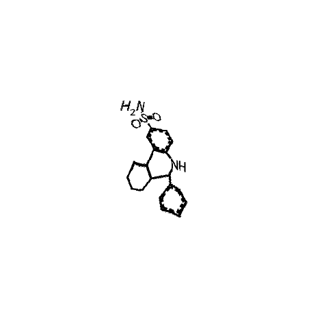 NS(=O)(=O)c1ccc2c(c1)C1CCCCC1C(c1ccccc1)N2